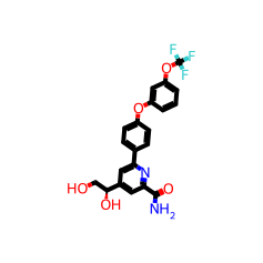 NC(=O)c1cc([C@@H](O)CO)cc(-c2ccc(Oc3cccc(OC(F)(F)F)c3)cc2)n1